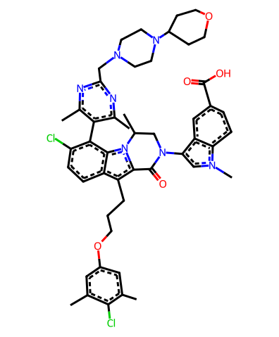 Cc1cc(OCCCc2c3n(c4c(-c5c(C)nc(CN6CCN(C7CCOCC7)CC6)nc5C)c(Cl)ccc24)C(C)CN(c2cn(C)c4ccc(C(=O)O)cc24)C3=O)cc(C)c1Cl